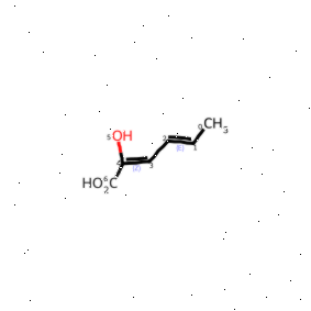 C/C=C/C=C(\O)C(=O)O